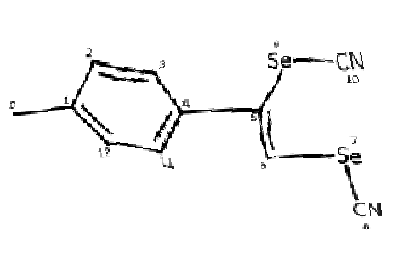 Cc1ccc(C(=C[Se]C#N)[Se]C#N)cc1